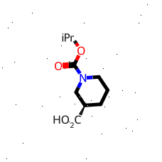 CC(C)OC(=O)N1CCC[C@@H](C(=O)O)C1